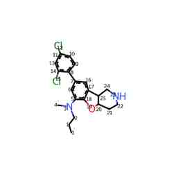 CCCN(C)c1cc(-c2ccc(Cl)cc2Cl)cc2c1OC1CCNCC21